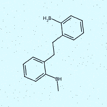 Bc1ccccc1CCc1ccccc1BC